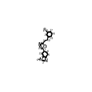 Cn1cnc2ccc(-c3nnc(CCc4cccc(F)c4)o3)cc21